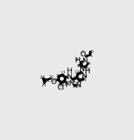 C=CC(=O)N1C[C@@H]2C[C@H]1CN2c1cc2c(Nc3ccc(OCC4CC4)c(Cl)c3F)ncnc2cn1